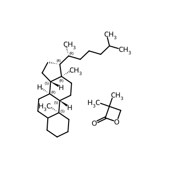 CC(C)CCC[C@@H](C)[C@H]1CC[C@H]2[C@@H]3CCC4CCCC[C@]4(C)[C@H]3CC[C@]12C.CC1(C)COC1=O